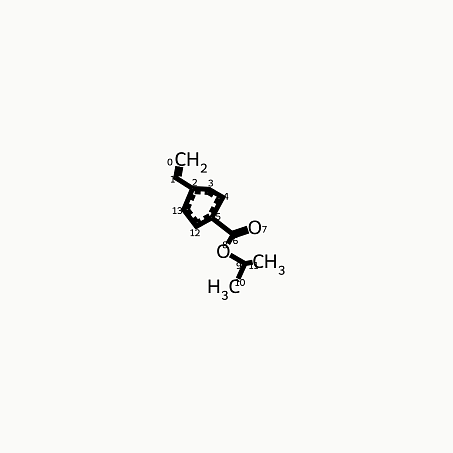 C=Cc1ccc(C(=O)OC(C)C)cc1